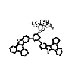 CC1(C)OB(c2cc(-c3ccc4sc5c6ccccc6c6ccccc6c5c4c3)cc(-c3ccc4sc5c6ccccc6c6ccccc6c5c4c3)c2)OC1(C)C